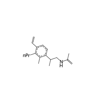 C=Cc1ccc(C(C)CNC(=C)C)c(C)c1CCC